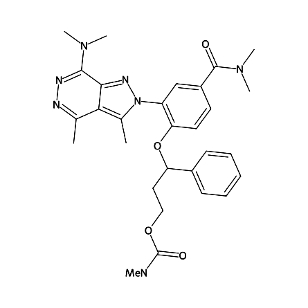 CNC(=O)OCCC(Oc1ccc(C(=O)N(C)C)cc1-n1nc2c(N(C)C)nnc(C)c2c1C)c1ccccc1